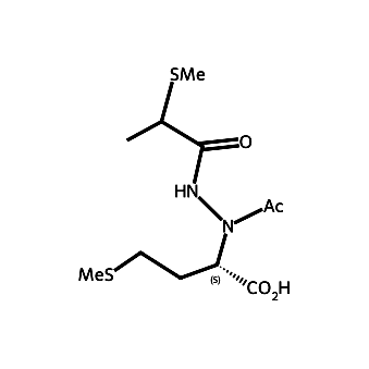 CSCC[C@@H](C(=O)O)N(NC(=O)C(C)SC)C(C)=O